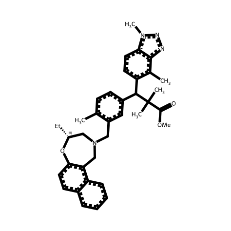 CC[C@@H]1CN(Cc2cc(C(c3ccc4c(nnn4C)c3C)C(C)(C)C(=O)OC)ccc2C)Cc2c(ccc3ccccc23)O1